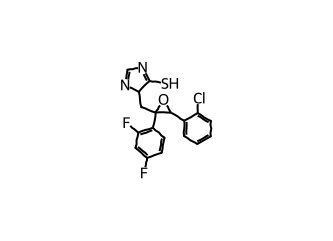 Fc1ccc(C2(CC3N=CN=C3S)OC2c2ccccc2Cl)c(F)c1